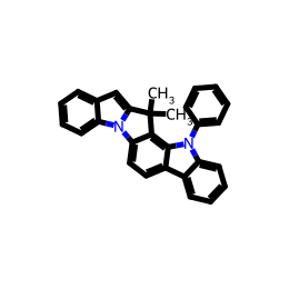 CC1(C)c2c(ccc3c4ccccc4n(-c4ccccc4)c23)-n2c1cc1ccccc12